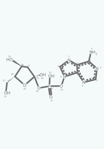 Nc1ncnc2c1ncn2OP(=O)(O)O[C@]1(O)C[C@H](O)[C@@H](CO)O1